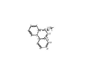 C1=CC2C3C=CC=C[N+]3=CC=[N+]2C=C1.[Br-].[Br-]